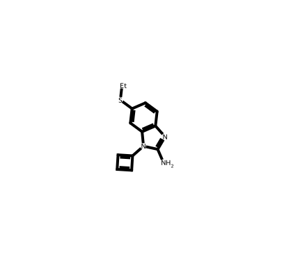 CCSc1ccc2nc(N)n(C3=CC=C3)c2c1